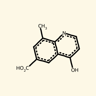 Cc1cc(C(=O)O)cc2c(O)ccnc12